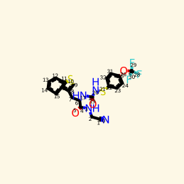 N#CCNC(=O)C(Cc1csc2ccccc12)NC(=O)NSc1ccc(OC(F)(F)F)cc1